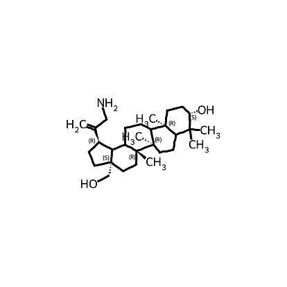 C=C(CN)[C@@H]1CC[C@]2(CO)CC[C@]3(C)C(CCC4[C@@]5(C)CC[C@H](O)C(C)(C)C5CC[C@]43C)C12